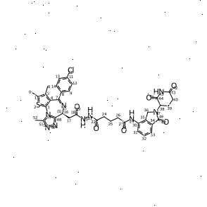 Cc1sc2c(c1C)C(c1ccc(Cl)cc1)=N[C@@H](CC(=O)NNC(=O)CCCC(=O)Nc1cccc3c1CN(C1CCC(=O)NC1=O)C3=O)c1nnc(C)n1-2